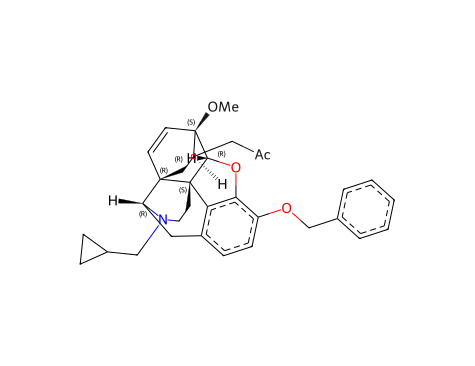 CO[C@]12C=C[C@@]3(C[C@@H]1CC(C)=O)[C@H]1Cc4ccc(OCc5ccccc5)c5c4[C@@]3(CCN1CC1CC1)[C@H]2O5